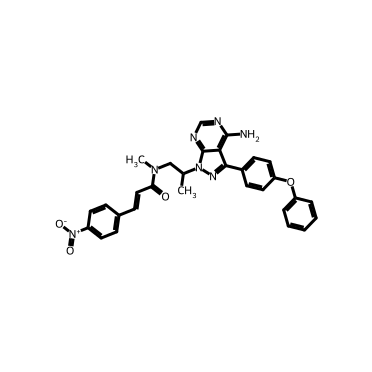 CC(CN(C)C(=O)C=Cc1ccc([N+](=O)[O-])cc1)n1nc(-c2ccc(Oc3ccccc3)cc2)c2c(N)ncnc21